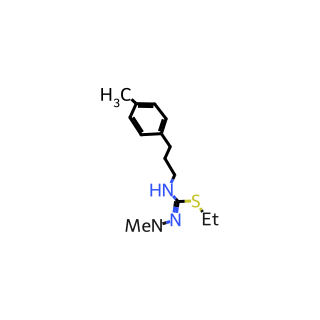 CCS/C(=N/NC)NCCCc1ccc(C)cc1